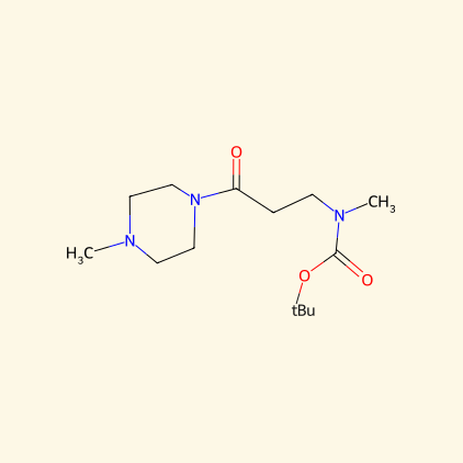 CN1CCN(C(=O)CCN(C)C(=O)OC(C)(C)C)CC1